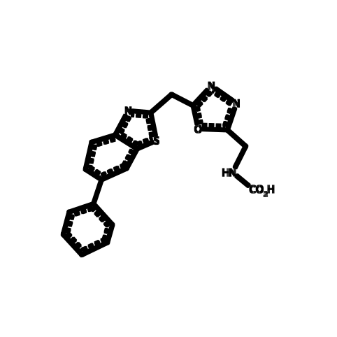 O=C(O)NCc1nnc(Cc2nc3ccc(-c4ccccc4)cc3s2)o1